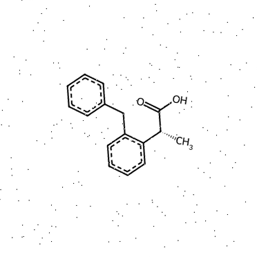 C[C@@H](C(=O)O)c1ccccc1Cc1ccccc1